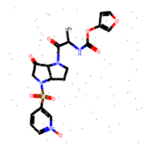 CCCC(NC(=O)Oc1ccoc1)C(=O)N1CCC2C1C(=O)CN2S(=O)(=O)c1ccc[n+]([O-])c1